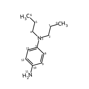 CCCN(CCC)c1ccc(N)cc1